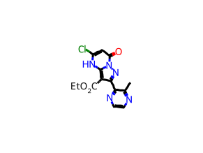 CCOC(=O)c1c(-c2nccnc2C)nn2c(=O)cc(Cl)[nH]c12